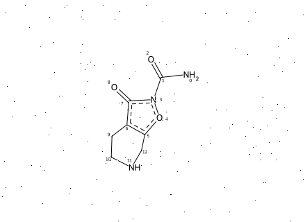 NC(=O)n1oc2c(c1=O)CCNC2